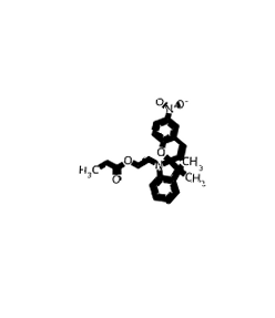 CCC(=O)OCCN1c2ccccc2C(C)(C)C12C=Cc1cc([N+](=O)[O-])ccc1O2